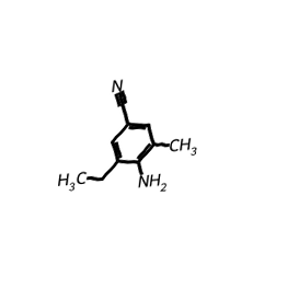 CCc1cc(C#N)cc(C)c1N